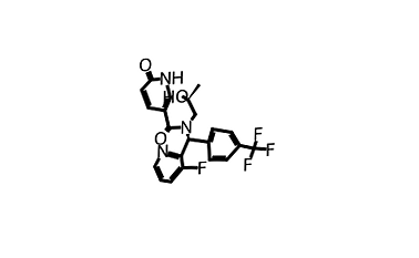 C[C@H](O)CN(C(=O)c1ccc(=O)[nH]c1)[C@@H](c1ccc(C(F)(F)F)cc1)c1ncccc1F